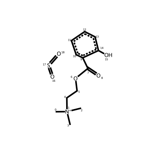 C[N+](C)(C)CCOC(=O)c1ccccc1O.O=S=O